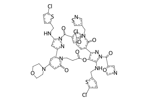 O=C(CCn1c(-c2cc(NCc3ccc(Cl)s3)n(C(=O)c3ccoc3)n2)cc(N2CCOCC2)cc1=O)Oc1c(-c2ccc(Cl)n(Cc3cnsc3)c2=O)nn(C(=O)c2cnco2)c1NCc1ccc(Cl)s1